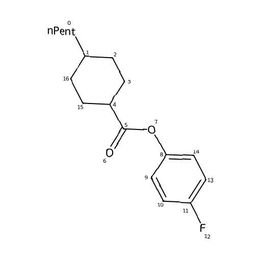 CCCCCC1CCC(C(=O)Oc2ccc(F)cc2)CC1